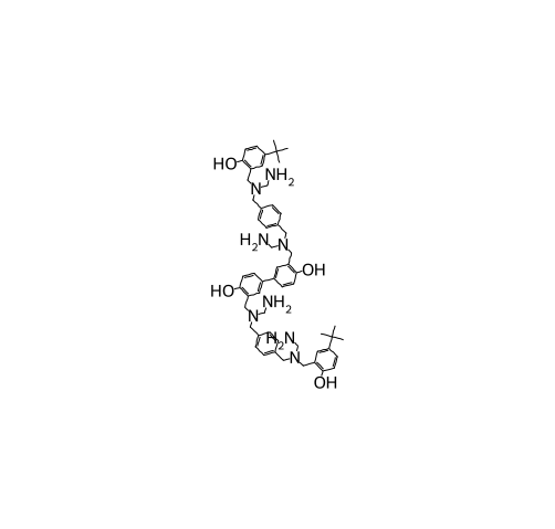 CC(C)(C)c1ccc(O)c(CN(CN)Cc2ccc(CN(CN)Cc3cc(-c4ccc(O)c(CN(CN)Cc5ccc(CN(CN)Cc6cc(C(C)(C)C)ccc6O)cc5)c4)ccc3O)cc2)c1